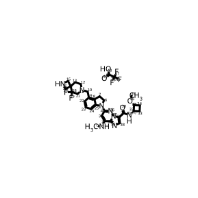 CNc1cc(N2CCc3c(CN4CCC5(CNC5)C(F)(F)C4)cccc32)nn2c(C(=O)N[C@@H]3CC[C@H]3OC)cnc12.O=C(O)C(F)(F)F